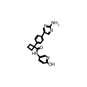 Nc1ncc(-c2ccc(C3(C(=O)Nc4ccc(O)nc4)CCC3)cc2)cn1